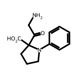 NCC(=O)C1(C(=O)O)CCCN1c1ccccc1